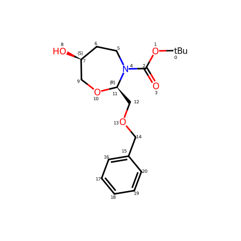 CC(C)(C)OC(=O)N1CC[C@H](O)CO[C@@H]1COCc1ccccc1